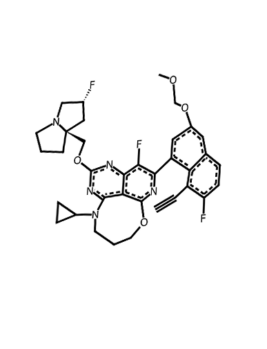 C#Cc1c(F)ccc2cc(OCOC)cc(-c3nc4c5c(nc(OC[C@@]67CCCN6C[C@H](F)C7)nc5c3F)N(C3CC3)CCCO4)c12